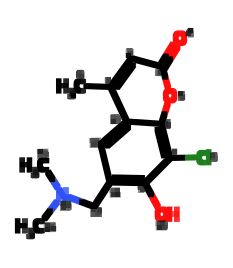 Cc1cc(=O)oc2c(Cl)c(O)c(CN(C)C)cc12